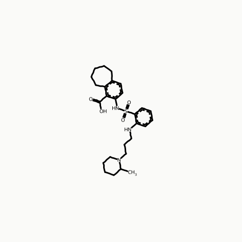 CC1CCCCN1CCCNc1ccccc1S(=O)(=O)Nc1ccc2c(c1C(=O)O)CCCCC2